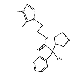 Cc1n(CCNC(=O)C(O)(c2ccccc2)C2CCCC2)cc[n+]1C